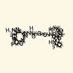 CC[C@H](NC(=O)[C@H]1C[C@@H](NCCOCCOCCC(=O)NCCn2cc3c(n2)CN(C)C(=O)c2ccc(F)cc2[C@H]2CCCN2c2cc-3cnc2N)CN1C(=O)C(NC(=O)[C@@H](C)NC)C(C)(C)C)c1ccccc1